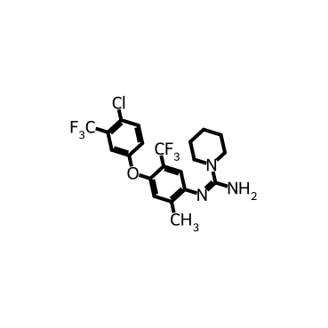 Cc1cc(Oc2ccc(Cl)c(C(F)(F)F)c2)c(C(F)(F)F)cc1N=C(N)N1CCCCC1